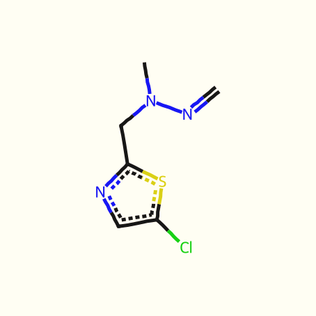 C=NN(C)Cc1ncc(Cl)s1